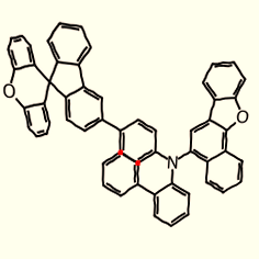 c1ccc(-c2ccccc2N(c2ccc(-c3ccc4c(c3)-c3ccccc3C43c4ccccc4Oc4ccccc43)cc2)c2cc3c4ccccc4oc3c3ccccc23)cc1